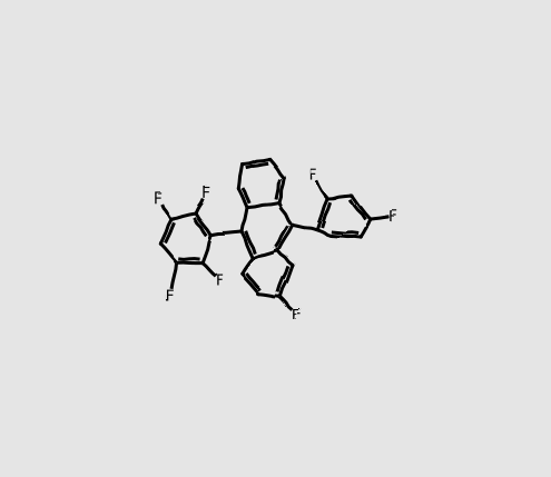 Fc1ccc(-c2c3ccccc3c(-c3c(F)c(F)cc(F)c3F)c3ccc(F)cc23)c(F)c1